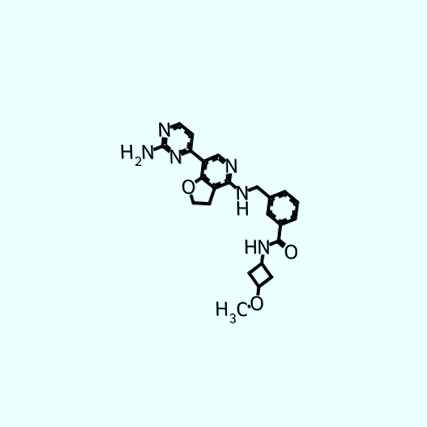 COC1CC(NC(=O)c2cccc(CNc3ncc(-c4ccnc(N)n4)c4c3CCO4)c2)C1